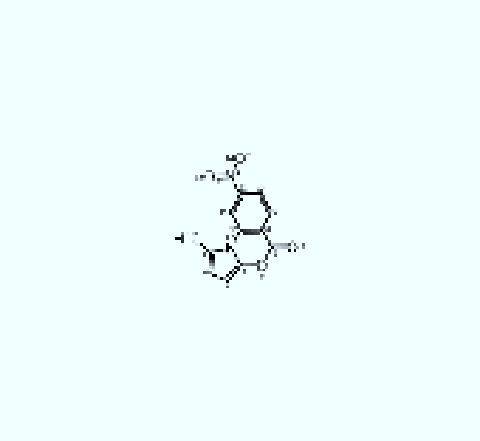 Cc1ccc2oc(=O)c3ccc([N+](=O)[O-])cc3n12